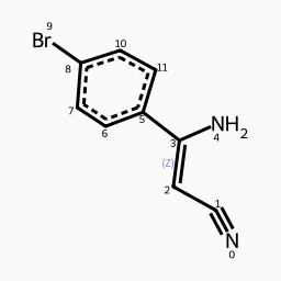 N#C/C=C(\N)c1ccc(Br)cc1